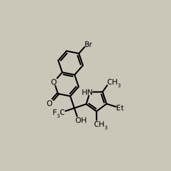 CCc1c(C)[nH]c(C(O)(c2cc3cc(Br)ccc3oc2=O)C(F)(F)F)c1C